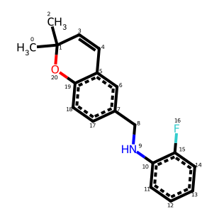 CC1(C)C=Cc2cc(CNc3ccccc3F)ccc2O1